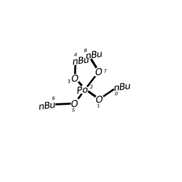 CCCC[O][Po]([O]CCCC)([O]CCCC)[O]CCCC